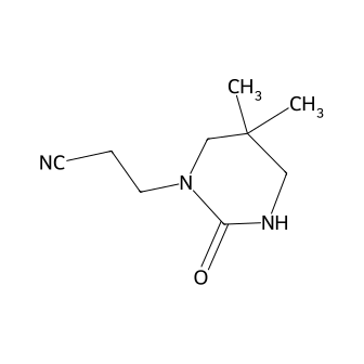 CC1(C)CNC(=O)N(CCC#N)C1